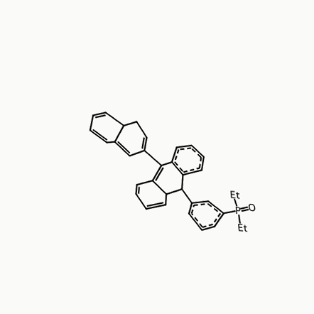 CCP(=O)(CC)c1cccc(C2c3ccccc3C(C3=CCC4C=CC=CC4=C3)=C3C=CC=CC32)c1